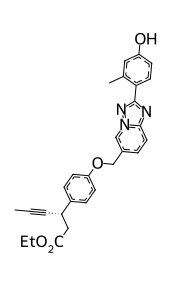 CC#C[C@@H](CC(=O)OCC)c1ccc(OCc2ccc3nc(-c4ccc(O)cc4C)nn3c2)cc1